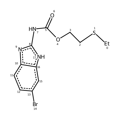 CCSCCOC(=O)Nc1nc2ccc(Br)cc2[nH]1